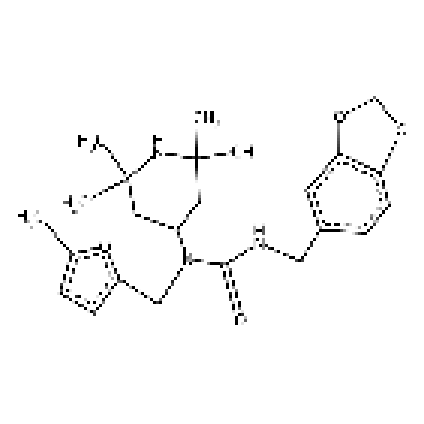 Cc1ccc(CN(C(=O)NCc2ccc3c(c2)OCO3)C2CC(C)(C)NC(C)(C)C2)o1